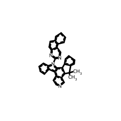 CC1(C)c2ccccc2-c2c1c1cnccc1c1c3ccccc3n(-c3ncc4c(ccc5ccccc54)n3)c21